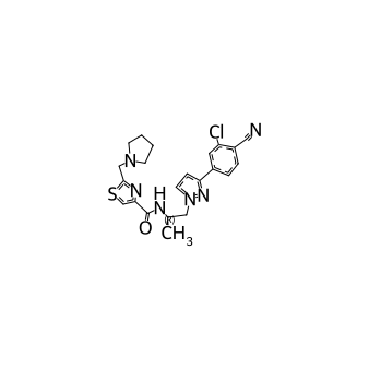 C[C@H](Cn1ccc(-c2ccc(C#N)c(Cl)c2)n1)NC(=O)c1csc(CN2CCCC2)n1